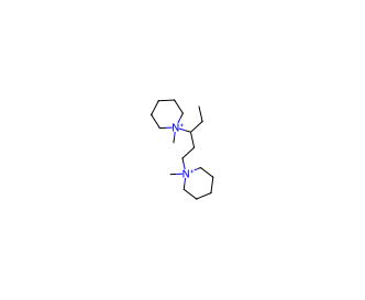 CCC(CC[N+]1(C)CCCCC1)[N+]1(C)CCCCC1